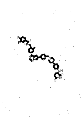 Cc1cc(-c2ncnn3cc(-c4ccc(CN5CCC(c6ccc(N[C@H]7CCC(=O)NC7=O)cc6)CC5)cc4)cc23)ccc1CNC(=O)c1ccc(F)c(F)c1